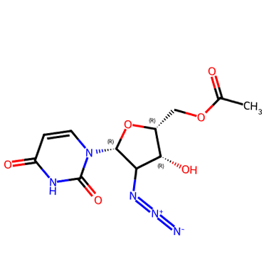 CC(=O)OC[C@H]1O[C@@H](n2ccc(=O)[nH]c2=O)C(N=[N+]=[N-])[C@H]1O